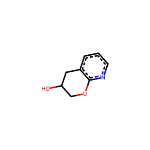 OC1COc2ncccc2C1